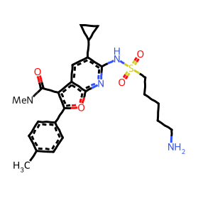 CNC(=O)c1c(-c2ccc(C)cc2)oc2nc(NS(=O)(=O)CCCCCN)c(C3CC3)cc12